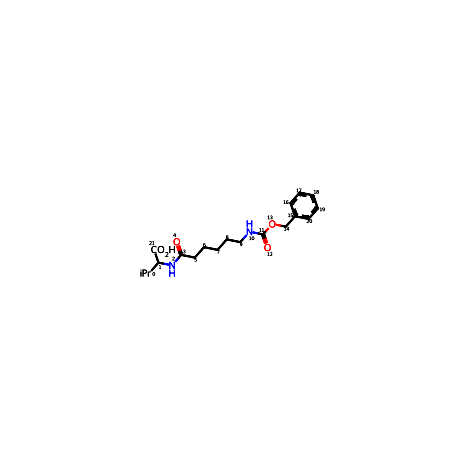 CC(C)C(NC(=O)CCCCCNC(=O)OCc1ccccc1)C(=O)O